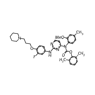 COc1cc(C)ccc1N(C(=O)Oc1c(C)cccc1C)c1ccnc(Nc2ccc(OCCCN3CCCCC3)c(F)c2)n1